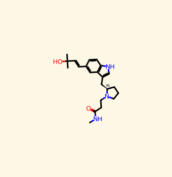 CNC(=O)CCN1CCC[C@@H]1Cc1c[nH]c2ccc(C=CC(C)(C)O)cc12